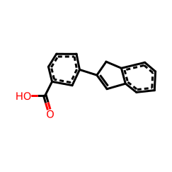 O=C(O)c1cccc(C2=Cc3ccccc3C2)c1